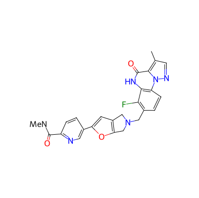 CNC(=O)c1ccc(-c2cc3c(o2)CN(Cc2ccc4c([nH]c(=O)c5c(C)cnn54)c2F)C3)cn1